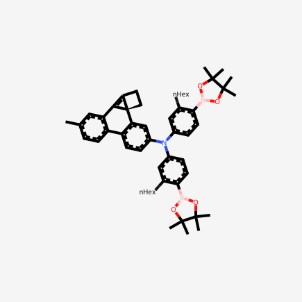 CCCCCCc1cc(N(c2ccc(B3OC(C)(C)C(C)(C)O3)c(CCCCCC)c2)c2ccc3c(c2)[C@@]24CCC2=C4c2cc(C)ccc2-3)ccc1B1OC(C)(C)C(C)(C)O1